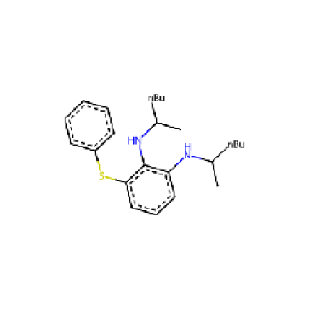 CCCCC(C)Nc1cccc(Sc2ccccc2)c1NC(C)CCCC